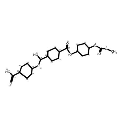 COC(=O)OC1CCC(OC(=O)C2CCC(C(O)OC3CCC(C(=O)O)CC3)CC2)CC1